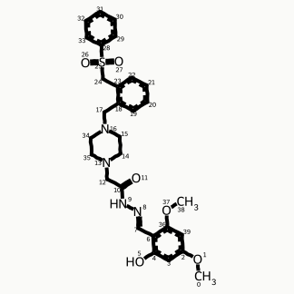 COc1cc(O)c(/C=N/NC(=O)CN2CCN(Cc3ccccc3CS(=O)(=O)c3ccccc3)CC2)c(OC)c1